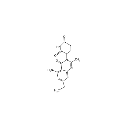 CCc1cc(N)c2c(=O)n(C3CCC(=O)NC3=O)c(C)nc2c1